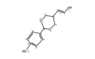 CCC/C=C/C1COC(c2ccc(C#N)cc2)OC1